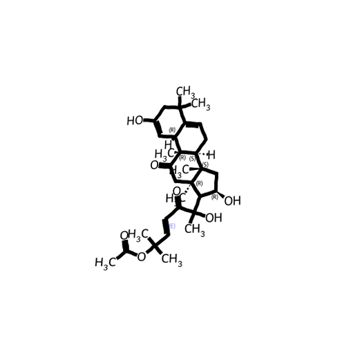 CC(=O)OC(C)(C)/C=C/C(=O)C(C)(O)C1[C@H](O)C[C@@]2(C)[C@@H]3CC=C4[C@@H](C=C(O)CC4(C)C)[C@]3(C)C(=O)C[C@]12C